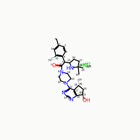 Cc1ccc(C(C(=O)N2CCN(c3ncnc4c3[C@H](C)C[C@H]4O)CC2)C2CCC(C)(C)N2)c(F)c1.Cl.Cl